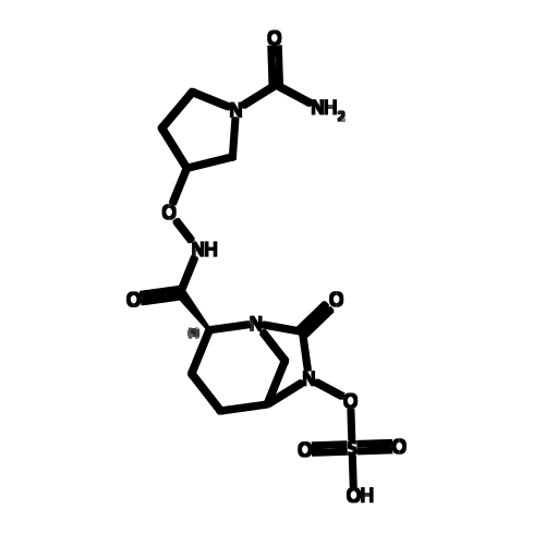 NC(=O)N1CCC(ONC(=O)[C@@H]2CCC3CN2C(=O)N3OS(=O)(=O)O)C1